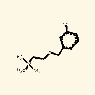 CCc1cccc(CSCC[N+](C)(C)C)c1